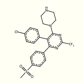 CS(=O)(=O)c1ccc(-c2nc(C(F)(F)F)nc(N3CCNCC3)c2-c2ccc(Cl)cc2)cc1